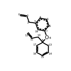 C=CCc1cc[c]c(OC2(CC=C)[CH]C=CC=C2)c1